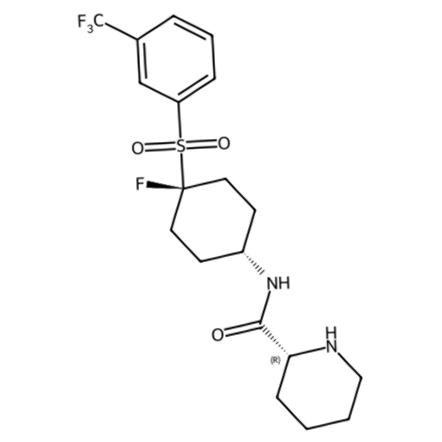 O=C(N[C@H]1CC[C@@](F)(S(=O)(=O)c2cccc(C(F)(F)F)c2)CC1)[C@H]1CCCCN1